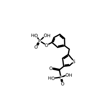 O=C(c1csc(Cc2cccc(OP(=O)(O)O)c2)c1)P(=O)(O)O